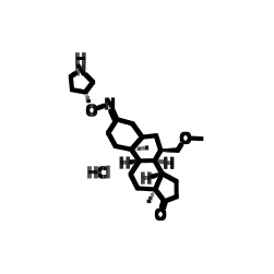 COC[C@@H]1CC2C/C(=N/O[C@@H]3CCNC3)CC[C@]2(C)[C@H]2CC[C@]3(C)C(=O)CC[C@H]3[C@H]12.Cl